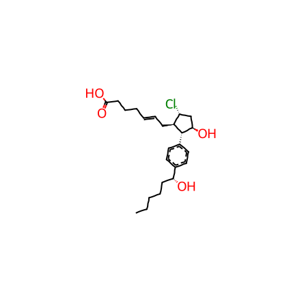 CCCCC[C@@H](O)c1ccc([C@@H]2[C@@H](C/C=C/CCCC(=O)O)[C@H](Cl)C[C@H]2O)cc1